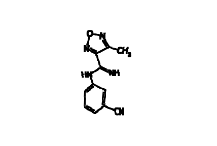 Cc1nonc1C(=N)Nc1cccc(C#N)c1